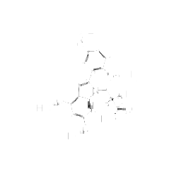 COc1ccc(OC)c(-c2cc3c(OC)cc(OC)cc3n2CC(C)(C)C(=O)O)c1